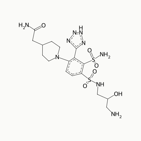 NCC(O)CNS(=O)(=O)c1ccc(N2CCC(CC(N)=O)CC2)c(-c2nn[nH]n2)c1S(N)(=O)=O